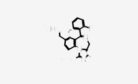 Cc1nnc2n1-c1ccc(CC=O)c(Cl)c1C(c1c(F)cccc1F)=NC2